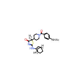 CC(=O)Nc1ccc(C(=O)N2CCC(C3(C)SC(NC4C[C@@H]5CC[C@H]4C5)=NC3=O)CC2)cc1